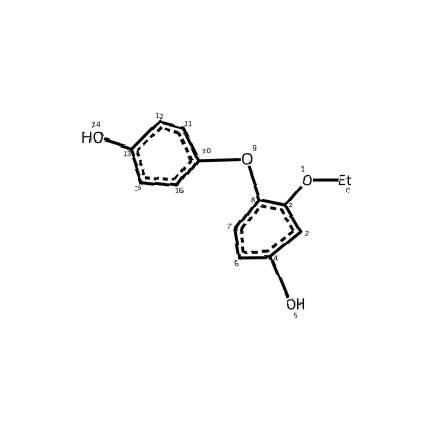 CCOc1cc(O)ccc1Oc1ccc(O)cc1